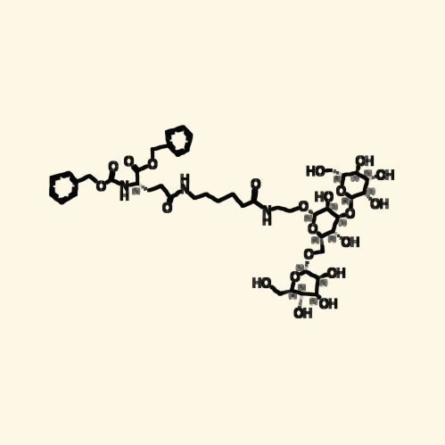 O=C(CCCCCNC(=O)CC[C@H](NC(=O)OCc1ccccc1)C(=O)OCc1ccccc1)NCCO[C@H]1O[C@H](CO[C@H]2O[C@H](CO)[C@@H](O)[C@H](O)[C@@H]2O)[C@@H](O)[C@H](O[C@H]2O[C@H](CO)[C@@H](O)[C@H](O)[C@@H]2O)[C@@H]1O